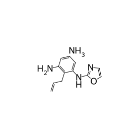 C=CCc1c(N)cccc1Nc1ncco1.N